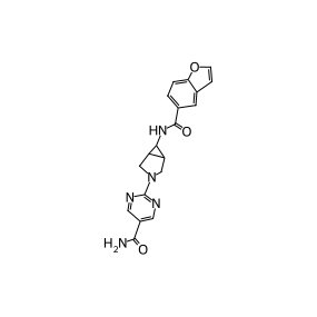 NC(=O)c1cnc(N2CC3C(C2)C3NC(=O)c2ccc3occc3c2)nc1